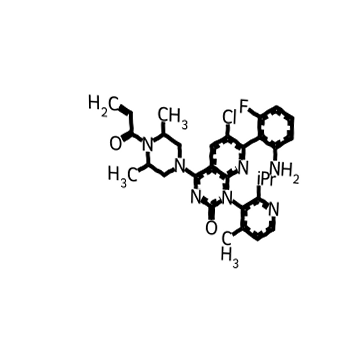 C=CC(=O)N1C(C)CN(c2nc(=O)n(-c3c(C)ccnc3C(C)C)c3nc(-c4c(N)cccc4F)c(Cl)cc23)CC1C